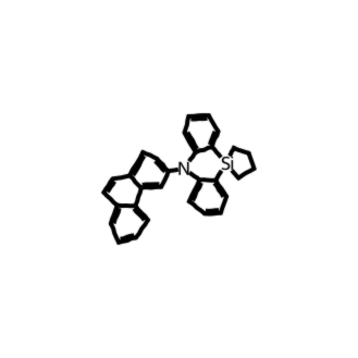 c1ccc2c(c1)N(c1ccc3ccc4ccccc4c3c1)c1ccccc1[Si]21CCCC1